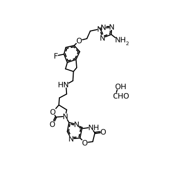 Nc1nnn(CCOc2cc(F)c3c(c2)CC(CNCCC2CN(c4cnc5c(n4)NC(=O)CO5)C(=O)O2)C3)n1.O=CO